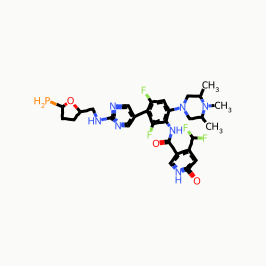 CC1CN(c2cc(F)c(-c3cnc(NCC4CCC(P)O4)nc3)c(F)c2NC(=O)c2c[nH]c(=O)cc2C(F)F)CC(C)N1C